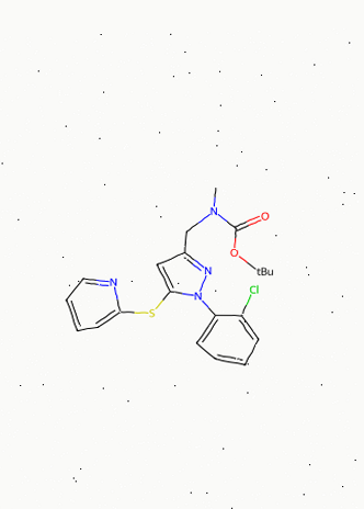 CN(Cc1cc(Sc2ccccn2)n(-c2ccccc2Cl)n1)C(=O)OC(C)(C)C